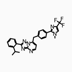 CC(C)c1ccccc1-c1nc2nccc(Cc3ccc(-c4nc(C(F)(F)F)cn4C)cc3)n2n1